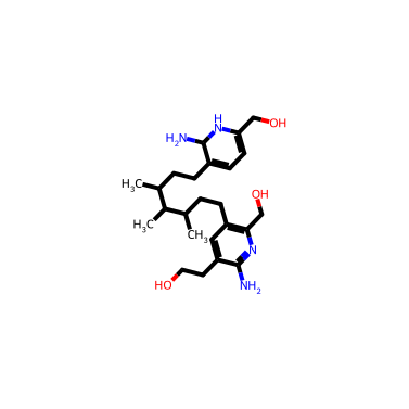 CC(CCC1=CC=C(CO)NC1N)C(C)C(C)CCc1cc(CCO)c(N)nc1CO